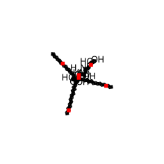 CCCCCCCCCCCCCCCCC(O)[C@@](CCCCCCCCCCCCCCCC)(C(=O)O)N(CCCCCCCCCCCCCCCC)C(=O)[C@H](CO)NC(=O)[C@@H](N)CSCC(O)CO